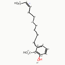 CCCCCCCC/C=C\CCCCCCCc1cccc(O)c1C(=O)O